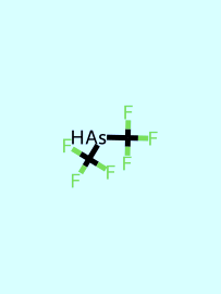 FC(F)(F)[AsH]C(F)(F)F